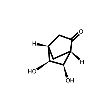 O=C1C[C@@H]2C[C@H]1[C@@H](O)[C@H]2O